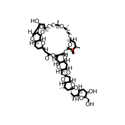 C=C1[C@H](C)C[C@@H]2CC[C@@H](C)O[C@H](C)CC[C@]34C[C@@H](O)C(O3)[C@@H]3O[C@H]5CC[C@H](CC(=O)O[C@@H]6[C@@H](C)[C@@H]7O[C@@H]8C[C@]9(C[C@@H]%10O[C@]%11(C[C@H](C)[C@@H]%12O[C@H](CO)[C@H](O)C[C@@H]%12O%11)C[C@H](C)[C@@H]%10O9)O[C@@H]8C[C@@H]7O[C@H]6C[C@H]1O2)O[C@@H]5C(O4)C3I